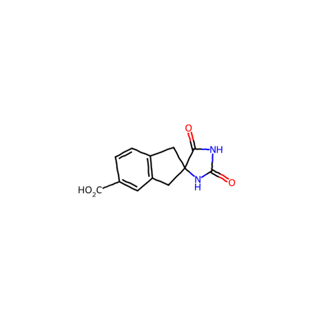 O=C1NC(=O)C2(Cc3ccc(C(=O)O)cc3C2)N1